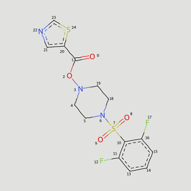 O=C(ON1CCN(S(=O)(=O)c2c(F)cccc2F)CC1)c1cncs1